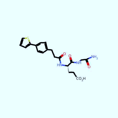 NC(=O)CNC(=O)[C@H](CCC(=O)O)NC(=O)CCc1ccc(-c2cccs2)cc1